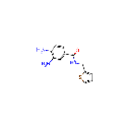 Nc1ccc(C(=O)NCc2cccs2)cc1N